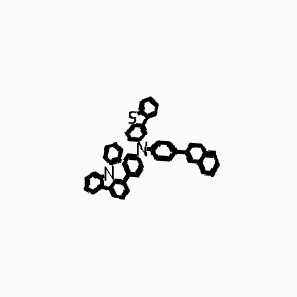 c1ccc(-n2c3ccccc3c3cccc(-c4ccc(N(c5ccc(-c6ccc7ccccc7c6)cc5)c5ccc6sc7ccccc7c6c5)cc4)c32)cc1